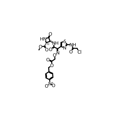 COC(=O)[C@H]1NC(=O)[C@H]1NC(=O)C(=NOCC(=O)OCc1ccc([N+](=O)[O-])cc1)c1csc(NC(=O)CCl)n1